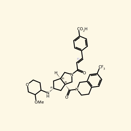 COC1COCCC1N[C@@H]1C[C@H]2CN(C(=O)/C=C/c3ccc(C(=O)O)cc3)C[C@@]2(C(=O)N2CCc3ccc(C(F)(F)F)cc3C2)C1